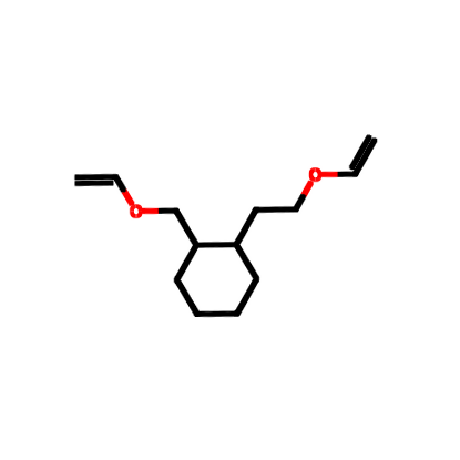 C=COCCC1CCCCC1COC=C